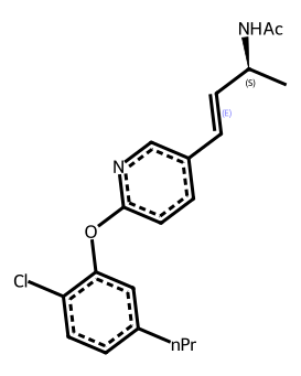 CCCc1ccc(Cl)c(Oc2ccc(/C=C/[C@H](C)NC(C)=O)cn2)c1